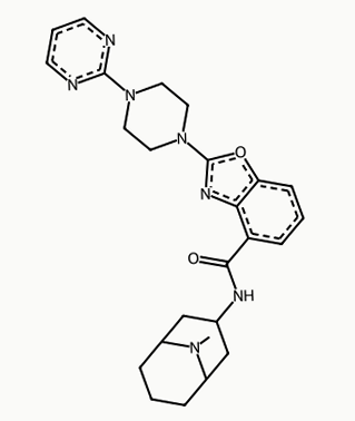 CN1C2CCCC1CC(NC(=O)c1cccc3oc(N4CCN(c5ncccn5)CC4)nc13)C2